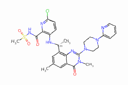 Cc1cc([C@@H](C)Nc2ccc(Cl)nc2C(=O)NS(C)(=O)=O)c2nc(N3CCN(c4ccccn4)CC3)n(C)c(=O)c2c1